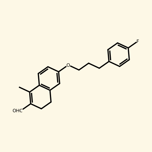 CC1=C(C=O)CCc2cc(OCCCc3ccc(F)cc3)ccc21